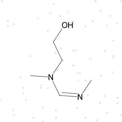 C/N=C\N(C)CCO